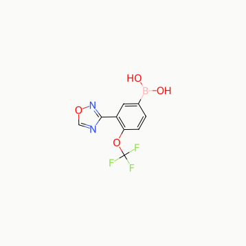 OB(O)c1ccc(OC(F)(F)F)c(-c2ncon2)c1